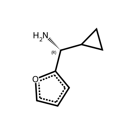 N[C@@H](c1ccco1)C1CC1